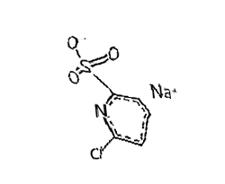 O=S(=O)([O-])c1cccc(Cl)n1.[Na+]